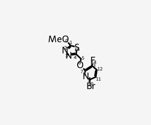 COc1nnc(COc2nc(Br)ccc2F)s1